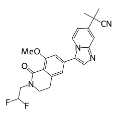 COc1cc(-c2cnc3cc(C(C)(C)C#N)ccn23)cc2c1C(=O)N(CC(F)F)CC2